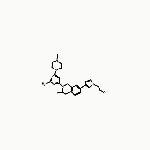 CC1Cc2ccc(-c3cnn(CCO)c3)cc2CN1c1cc(N2CCN(C)CC2)nc(N)n1